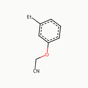 CCc1cccc(OCC#N)c1